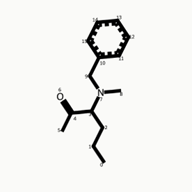 CCCC(C(C)=O)N(C)Cc1ccccc1